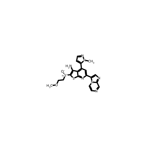 COCC[S@@+]([O-])c1sc2nc(-c3cnc4cnccn34)cc(-c3ccnn3C)c2c1N